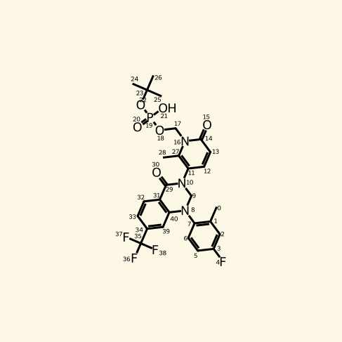 Cc1cc(F)ccc1N1CN(c2ccc(=O)n(COP(=O)(O)OC(C)(C)C)c2C)C(=O)c2ccc(C(F)(F)F)cc21